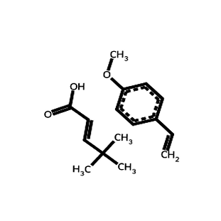 C=Cc1ccc(OC)cc1.CC(C)(C)C=CC(=O)O